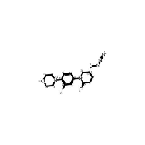 [N-]=[N+]=NC[C@@H]1CCC(=O)N(c2ccc(N3CCOCC3)c(F)c2)C1